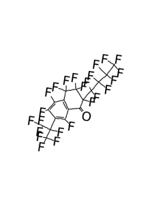 O=C1c2c(F)c(C(F)(C(F)(F)F)C(F)(F)F)c(F)c(F)c2C(F)(F)C(F)(F)C1(F)C(F)(F)C(F)(F)C(F)(F)C(F)(F)F